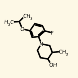 CC(C)Oc1ccc(F)c(N2CCC(O)C(C)C2)c1